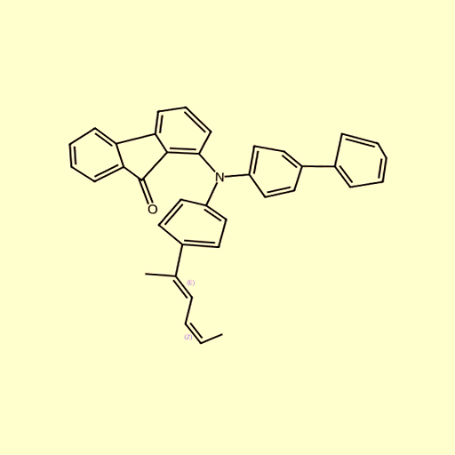 C/C=C\C=C(/C)c1ccc(N(c2ccc(-c3ccccc3)cc2)c2cccc3c2C(=O)c2ccccc2-3)cc1